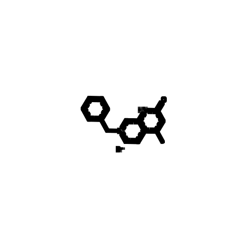 Cc1cc(=O)[nH]c2c[n+](Cc3ccccc3)ccc12.[Br-]